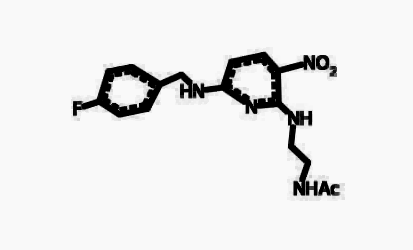 CC(=O)NCCNc1nc(NCc2ccc(F)cc2)ccc1[N+](=O)[O-]